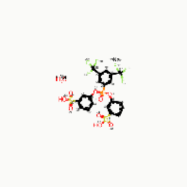 O.O=P(Oc1cccc(S(=O)(=O)O)c1)(Oc1cccc(S(=O)(=O)O)c1)c1cc(C(F)(F)F)cc(C(F)(F)F)c1.[Na].[Na]